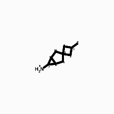 CC1CC2(C1)CC1C(N)C1C2